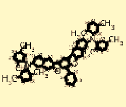 Cc1ccc(C)c(N(c2ccc3cc4c(cc3c2)oc2c(-c3ccccc3)c3oc5cc6cc(N(c7cc(C)ccc7C)c7cc(C)ccc7C)ccc6cc5c3cc24)c2cc(C)ccc2C)c1